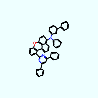 c1ccc(-c2cccc(N(c3ccccc3)c3ccc4c5c(cccc35)-c3c(cccc3-c3nc(-c5ccccc5)cc(-c5ccccc5)n3)O4)c2)cc1